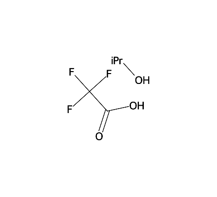 CC(C)O.O=C(O)C(F)(F)F